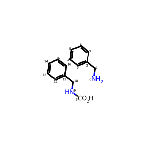 NCc1ccccc1.O=C(O)NCc1ccccc1